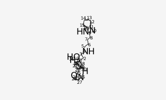 O[C@]1(CCNCCCCc2nc3ccccc3[nH]2)C[C@@H]2CC[C@H]1C=C2c1ncco1